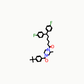 CC1CN(C(=O)c2ccc(C(C)(C)C)cc2)CCN1C(=O)CCCCC(c1ccc(F)cc1)c1ccc(F)cc1